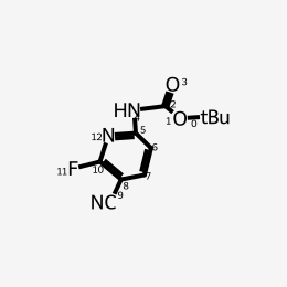 CC(C)(C)OC(=O)Nc1ccc(C#N)c(F)n1